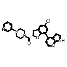 O=C([C@@H]1Cc2cc(Cl)cc(-c3ccnc4[nH]ccc34)c2O1)N1CCN(c2cccnc2)CC1